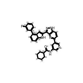 O=C(Nc1cncc(-c2ccc3[nH]nc(-c4cc5c(-c6cccc(F)c6)cccc5[nH]4)c3n2)c1)C1CCCCC1